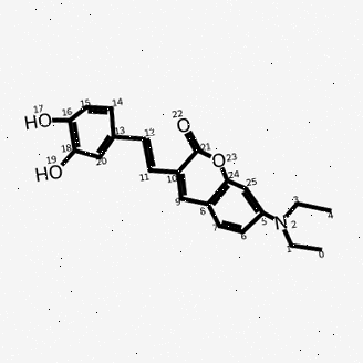 CCN(CC)c1ccc2cc(/C=C/c3ccc(O)c(O)c3)c(=O)oc2c1